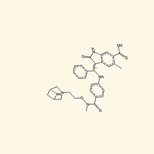 Cc1cc2c(cc1C(=O)O)NC(=O)/C2=C(/Nc1ccc(C(=O)N(C)OCCN2CC3CC(C2)N3)cc1)c1ccccc1